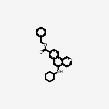 O=C(OCc1ccccc1)c1ccc2c(c1)cc(NC1CCCCC1)c1ccncc12